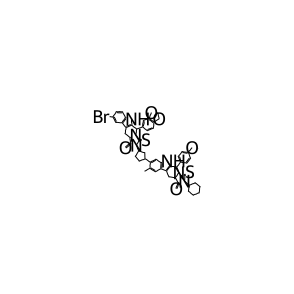 COc1ccc(C2c3[nH]c4cc(C5CCC(N6C(=O)C7Cc8c([nH]c9ccc(Br)cc89)C(c8ccc9c(c8)OCO9)N7C6=S)C5)c(C)cc4c3CC3C(=O)N(C4CCCCC4)C(=S)N32)cc1